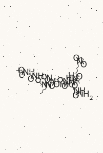 CCCCc1nc2c(N(Cc3ccc(NC(=O)[C@H](CCCNC(N)=O)NC(=O)[C@@H](NC(=O)CCCCCN4C(=O)C=CC4=O)C(C)C)cc3)C(=O)O)nc3ccccc3c2n1Cc1ccc(NC(=O)CCNC(=O)OC(C)(C)C)cc1